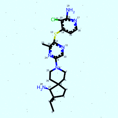 C/C=C1\CCC2(CCN(c3cnc(Sc4ccnc(N)c4Cl)c(C)n3)CC2)[C@@H]1N